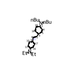 CCCCN(CCCC)c1ccc(/C=C/c2ccc(N(CC)CC)cc2)cc1